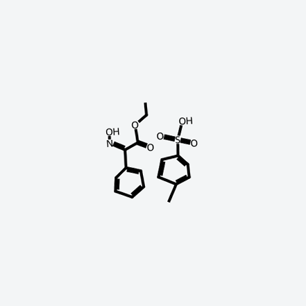 CCOC(=O)C(=NO)c1ccccc1.Cc1ccc(S(=O)(=O)O)cc1